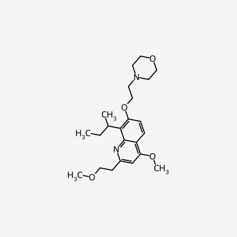 CCC(C)c1c(OCCN2CCOCC2)ccc2c(OC)cc(CCOC)nc12